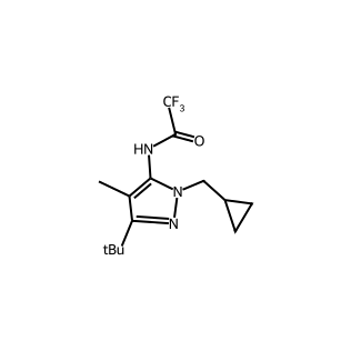 Cc1c(C(C)(C)C)nn(CC2CC2)c1NC(=O)C(F)(F)F